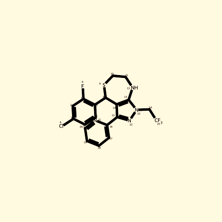 Fc1cc(Cl)ccc1C1SCCNc2c1c(-c1ccccn1)nn2CC(F)(F)F